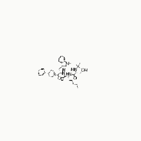 CCCCC[C@@H](NC(=O)[C@@H](CO)NC(C)(C)C)C(=O)N[C@@H](Cc1c[nH]c2ccccc12)C(=O)N1CCC(c2ccccc2)CC1